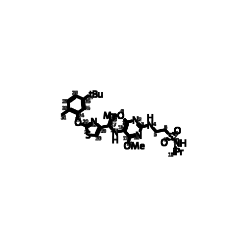 COc1nc(NCCS(=O)(=O)NC(C)C)nc(OC)c1NC(=O)c1csc(Oc2cc(C(C)(C)C)ccc2C)n1